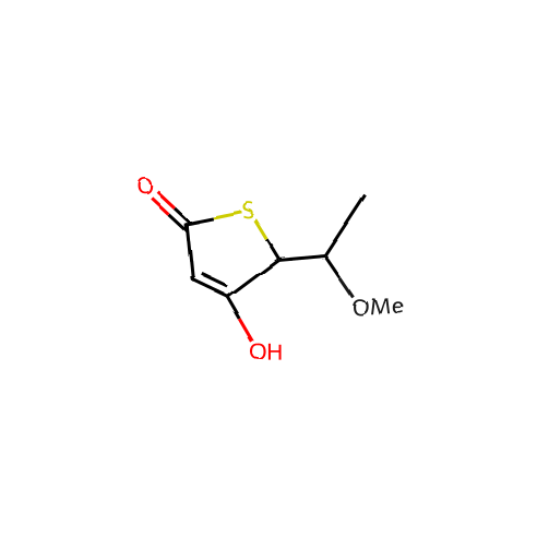 COC(C)C1SC(=O)C=C1O